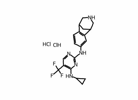 Cl.Cl.FC(F)(F)c1cnc(Nc2ccc3c(c2)C2CNCC3C2)nc1NC1CC1